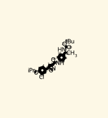 CC(C)Oc1ccc(-c2cc(C(=O)Nc3ccc([C@@H](C)NC(=O)OC(C)(C)C)cc3)no2)cc1Cl